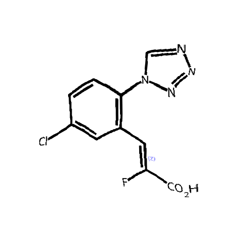 O=C(O)/C(F)=C/c1cc(Cl)ccc1-n1cnnn1